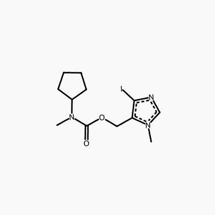 CN(C(=O)OCc1c(I)ncn1C)C1CCCC1